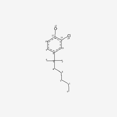 CCCCCC(C)(C)c1ccc([O])c(Cl)c1